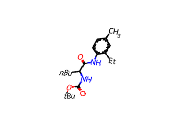 CCCCC(NC(=O)OC(C)(C)C)C(=O)Nc1ccc(C)cc1CC